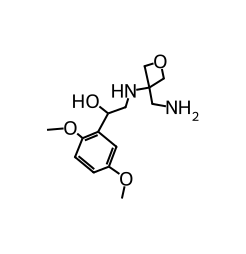 COc1ccc(OC)c(C(O)CNC2(CN)COC2)c1